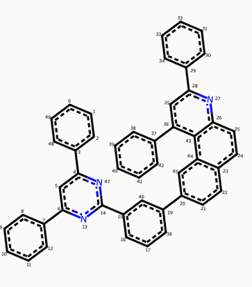 c1ccc(-c2cc(-c3ccccc3)nc(-c3cccc(-c4ccc5ccc6nc(-c7ccccc7)cc(-c7ccccc7)c6c5c4)c3)n2)cc1